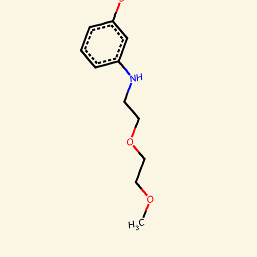 COCCOCCNc1cccc(OC)c1